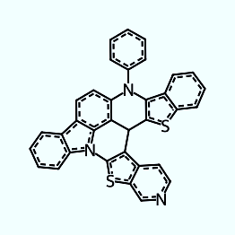 c1ccc(N2c3ccc4c5ccccc5n5c4c3C(c3sc4ccccc4c32)c2c-5sc3cnccc23)cc1